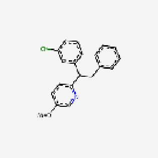 COc1ccc(C(Cc2ccccc2)c2cccc(Cl)c2)nc1